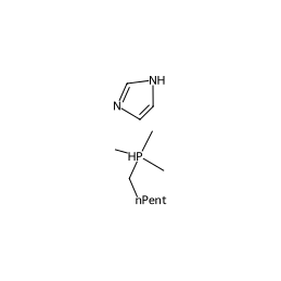 CCCCCC[PH](C)(C)C.c1c[nH]cn1